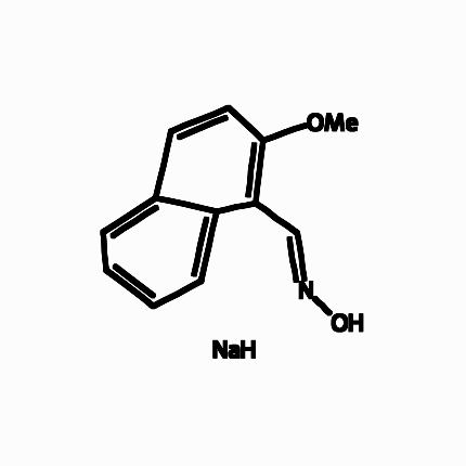 COc1ccc2ccccc2c1C=NO.[NaH]